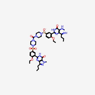 CCCC(=N)c1nc(-c2cc([S+]([O-])N3CCN(C(=O)N4CCN(S(=O)(=O)c5ccc(OCC)c(-c6nc7c(CCC)nn(C)c7c(=O)[nH]6)c5)CC4)CC3)ccc2OCC)[nH]c(=O)c1NC